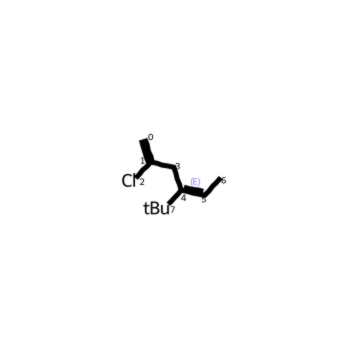 C=C(Cl)C/C(=C\C)C(C)(C)C